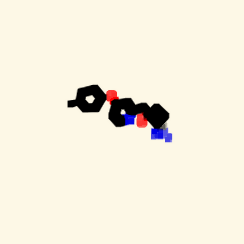 C[C@H]1CC[C@H](Oc2ccnc(C[C@]3(O)CC[C@@H]3N)c2)CC1